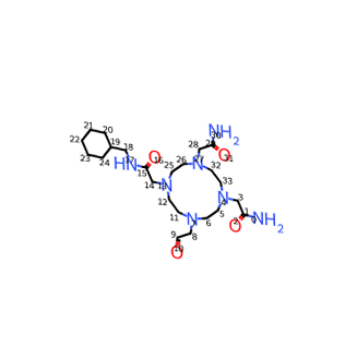 NC(=O)CN1CCN(CC=O)CCN(CC(=O)NCC2CCCCC2)CCN(CC(N)=O)CC1